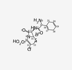 NC(C(=O)N[C@@H]1C(=O)N2C(C(=O)O)=C(Cl)CS[C@H]12)C1=CCC=CC1